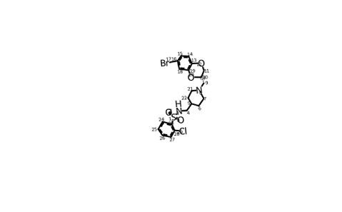 O=S(=O)(NCC1CCN(C[C@H]2COc3ccc(Br)cc3O2)CC1)c1ccccc1Cl